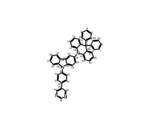 c1ccc(C2(c3ccccc3)c3ccccc3N(c3ccc4c(c3)c3ccccc3n4-c3ccc(-c4cncnc4)cc3)c3ccccc32)cc1